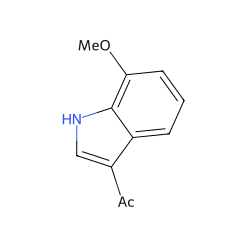 COc1cccc2c(C(C)=O)c[nH]c12